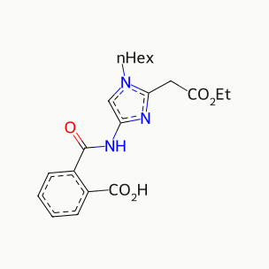 CCCCCCn1cc(NC(=O)c2ccccc2C(=O)O)nc1CC(=O)OCC